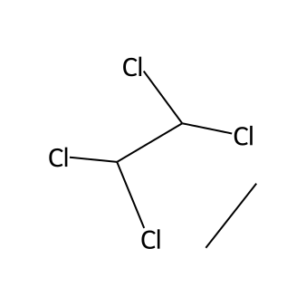 CC.ClC(Cl)C(Cl)Cl